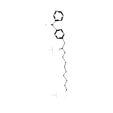 CCCCCCCCCCC(O)Cc1ccc(C(=O)c2ccccc2)cc1